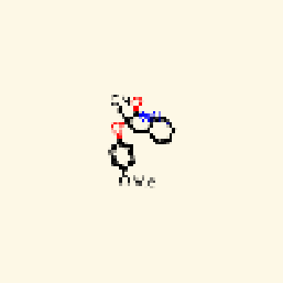 COc1ccc(OC(CC#N)(CC2CCCCC2)C(N)=O)cc1